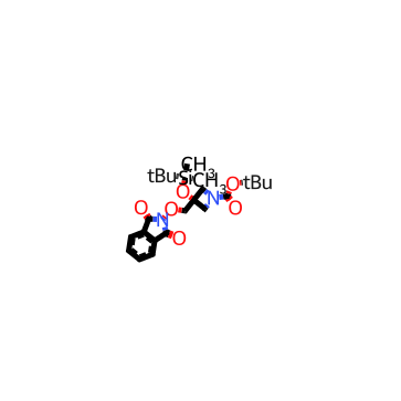 CC(C)(C)OC(=O)N1CC(CON2C(=O)c3ccccc3C2=O)(O[Si](C)(C)C(C)(C)C)C1